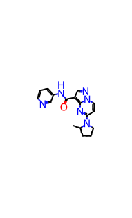 CC1CCCN1c1ccn2ncc(C(=O)Nc3cccnc3)c2n1